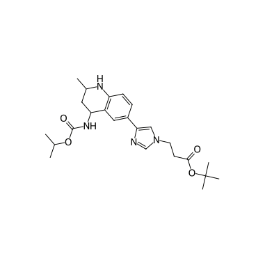 CC1CC(NC(=O)OC(C)C)c2cc(-c3cn(CCC(=O)OC(C)(C)C)cn3)ccc2N1